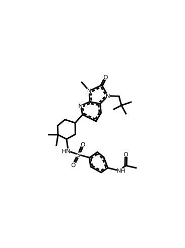 CC(=O)Nc1ccc(S(=O)(=O)NC2CC(c3ccc4c(n3)n(C)c(=O)n4CC(C)(C)C)CCC2(C)C)cc1